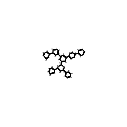 c1ccc(-c2ccc(-c3cc(-c4cccc(-c5ccccc5)c4)cc(-c4nc(-c5ccccc5)cc(-c5ccccc5)n4)c3)cc2)cc1